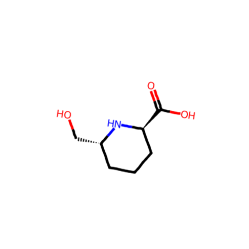 O=C(O)[C@H]1CCC[C@H](CO)N1